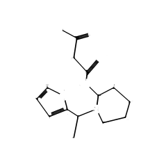 CC(=O)CC(=O)OC1CCCCN1C(C)c1ccco1